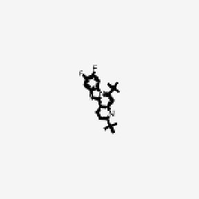 CC(C)(C)c1ccc2c(cc(C(C)(C)C)n3c4cc(F)c(F)cc4nc23)n1